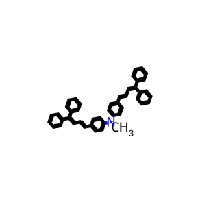 CN(c1ccc(C=CC=C(c2ccccc2)c2ccccc2)cc1)c1ccc(C=CC=C(c2ccccc2)c2ccccc2)cc1